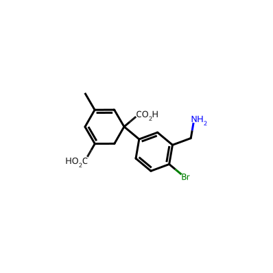 CC1=CC(C(=O)O)(c2ccc(Br)c(CN)c2)CC(C(=O)O)=C1